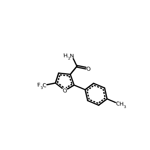 Cc1ccc(-c2oc(C(F)(F)F)cc2C(N)=O)cc1